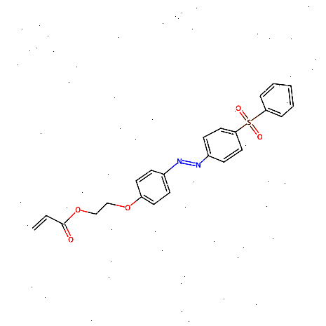 C=CC(=O)OCCOc1ccc(N=Nc2ccc(S(=O)(=O)c3ccccc3)cc2)cc1